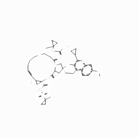 COc1ccc2c3c(c(C4CC4)nc2c1)O[C@]1(CC3)C[C@H]2C(=O)N[C@]3(C(=O)NS(=O)(=O)C4(C)CC4)C[C@H]3/C=C\CCCCC[C@H](N(C(=O)O)C3(C)CC3)C(=O)N2C1